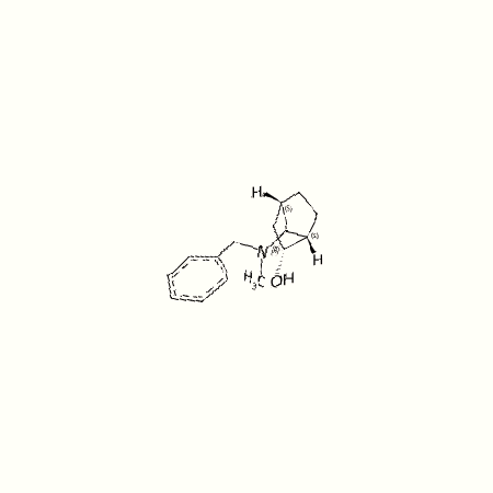 CN(Cc1ccccc1)C1[C@H]2CC[C@@H]1[C@H](O)C2